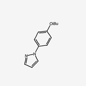 CC(C)COc1ccc(-n2cccn2)cc1